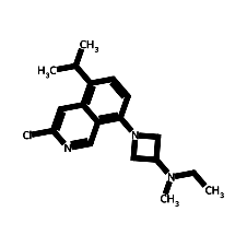 CCN(C)C1CN(c2ccc(C(C)C)c3cc(Cl)ncc23)C1